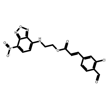 O=Cc1ccc(/C=C/C(=O)OCCNc2ccc([N+](=O)[O-])c3nonc23)cc1Cl